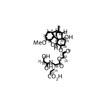 COc1ccc2c3c1O[C@H]1C(OC(=O)[C@H](C)OC(=O)[C@H](CCC(=O)O)NC(=O)[C@H](C)O)=CC[C@@]4(O)[C@@H](C2)C(C)CC[C@]314